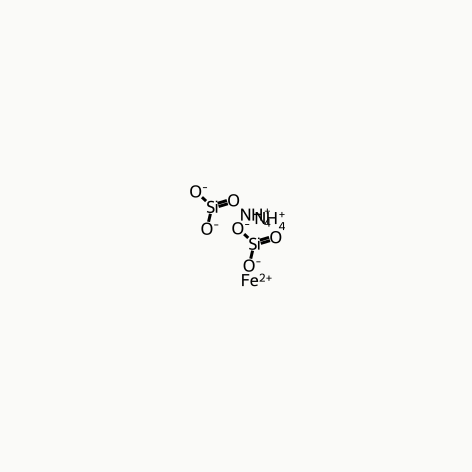 O=[Si]([O-])[O-].O=[Si]([O-])[O-].[Fe+2].[NH4+].[NH4+]